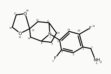 NCc1cc(F)c(N2C3CCC2CC2(C3)OCCO2)cc1F